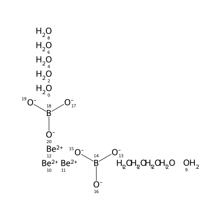 O.O.O.O.O.O.O.O.O.O.[Be+2].[Be+2].[Be+2].[O-]B([O-])[O-].[O-]B([O-])[O-]